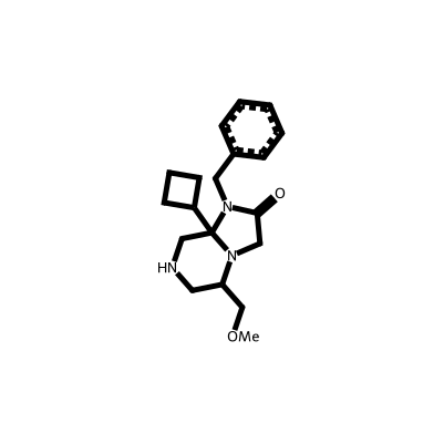 COCC1CNCC2(C3CCC3)N(Cc3ccccc3)C(=O)CN12